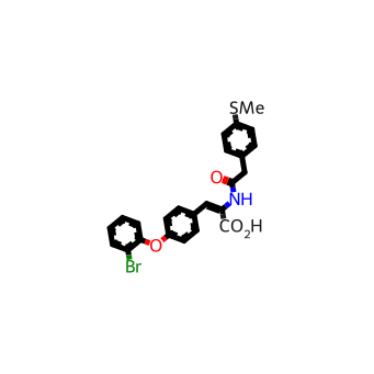 CSc1ccc(CC(=O)NC(=Cc2ccc(Oc3ccccc3Br)cc2)C(=O)O)cc1